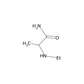 CCN[C](C)C(N)=O